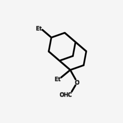 CCC1CC2CCC(CC)(OC=O)C(C1)C2